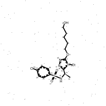 CCn1c(OCCCCCO)nnc1[C@@H](C)NS(=O)(=O)c1ccc(Cl)cc1